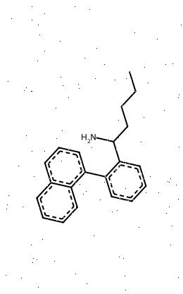 CCCCC(N)c1ccccc1-c1cccc2ccccc12